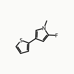 Cn1cc(-c2cccs2)cc1F